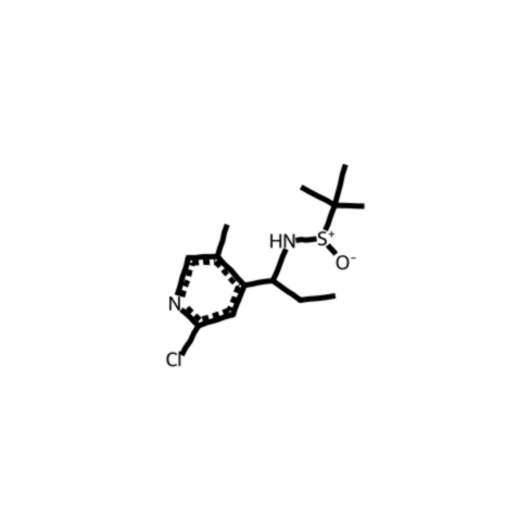 CCC(N[S+]([O-])C(C)(C)C)c1cc(Cl)ncc1C